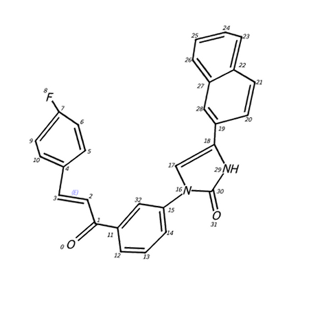 O=C(/C=C/c1ccc(F)cc1)c1cccc(-n2cc(-c3ccc4ccccc4c3)[nH]c2=O)c1